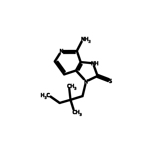 CCC(C)(C)Cn1c(=S)[nH]c2c(N)nccc21